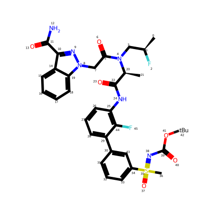 C[C@@H](F)CN(C(=O)Cn1nc(C(N)=O)c2ccccc21)[C@@H](C)C(=O)Nc1cccc(-c2cccc(S(C)(=O)=NC(=O)OC(C)(C)C)c2)c1F